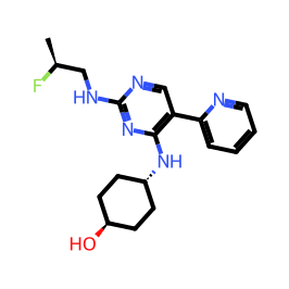 C[C@H](F)CNc1ncc(-c2ccccn2)c(N[C@H]2CC[C@H](O)CC2)n1